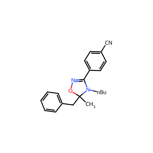 CCCCN1C(c2ccc(C#N)cc2)=NOC1(C)Cc1ccccc1